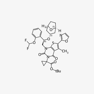 Cc1c(-c2ncco2)sc2c1c(=O)n(C1(C(=O)OC(C)(C)C)CC1)c(=O)n2C[C@H](O[C@@H]1C[C@H]2CC[C@@H](C1)O2)c1ccccc1OC(F)F